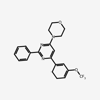 FC(F)(F)OC1=CC[CH]C(c2cc(N3CCOCC3)nc(-c3ccccc3)n2)=C1